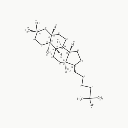 CC(C)(O)CCCC[C@@H]1CC[C@H]2[C@@H]3CC[C@H]4C[C@](O)(C(F)(F)F)CC[C@]4(C)[C@H]3CC[C@]12C